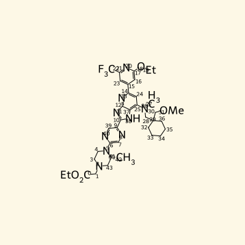 CCOC(=O)CN1CCN(c2cnc(-c3nc4nc(-c5cc(OCC)nc(C(F)(F)F)c5)cc(N(C)CC5(COC)CCCCC5)c4[nH]3)cn2)[C@H](C)C1